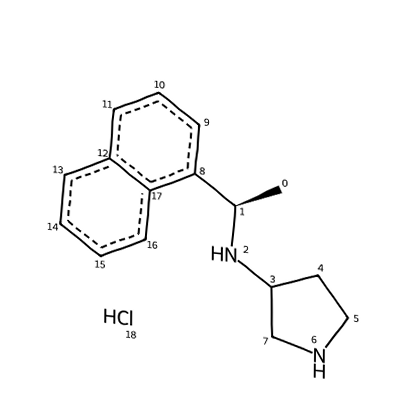 C[C@@H](NC1CCNC1)c1cccc2ccccc12.Cl